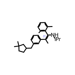 C/C(=C(\NC(C)C)c1c(C)cccc1C)c1cccc(CC2CCC(C)(C)C2)c1